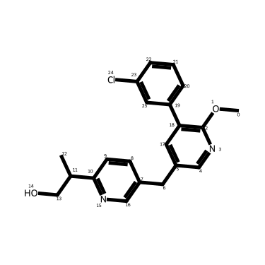 COc1ncc(Cc2ccc(C(C)CO)nc2)cc1-c1cccc(Cl)c1